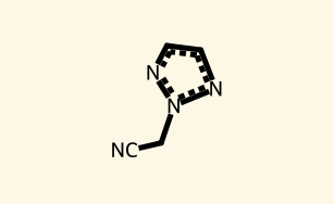 N#CCn1nccn1